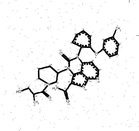 Cc1cccc(Oc2ccccc2N2C(=O)N(C3CCCN(C(=O)C(C)CO)C3)c3c(C(N)=O)sc4nccc2c34)c1